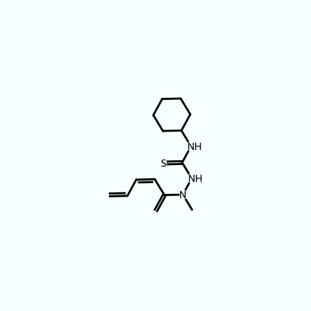 C=C/C=C\C(=C)N(C)NC(=S)NC1CCCCC1